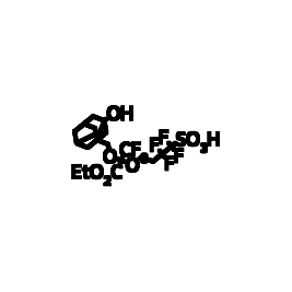 CCOC(=O)C(OCCC(F)(F)C(F)(F)S(=O)(=O)O)(OCC12CC3CC(CC(O)(C3)C1)C2)C(F)(F)F